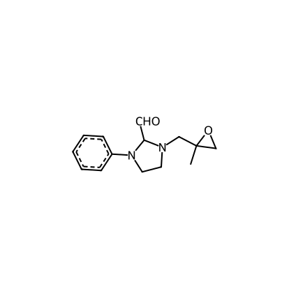 CC1(CN2CCN(c3ccccc3)C2C=O)CO1